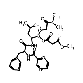 COC(=O)CC(=O)OB(OCC(=O)N(C)C)[C@H](CC(C)C)NC(=O)C(Cc1ccccc1)NC(=O)c1cnccn1